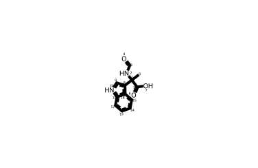 CC(NC=O)(C(=O)O)c1c[nH]c2ccccc12